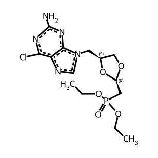 CCOP(=O)(C[C@@H]1OC[C@H](Cn2cnc3c(Cl)nc(N)nc32)O1)OCC